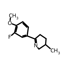 COc1ccc(C2=NCC(C)CC2)cc1F